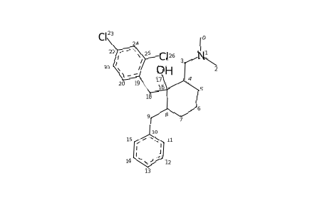 CN(C)CC1CCCC(Cc2ccccc2)C1(O)Cc1ccc(Cl)cc1Cl